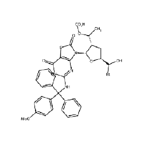 CCC(O)[C@@H]1C[C@@H](C(C)OC(=O)O)[C@H](n2c(=O)sc3c(=O)[nH]c(NC(c4ccccc4)(c4ccccc4)c4ccc(OC)cc4)nc32)O1